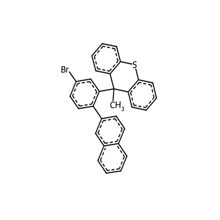 CC1(c2cc(Br)ccc2-c2ccc3ccccc3c2)c2ccccc2Sc2ccccc21